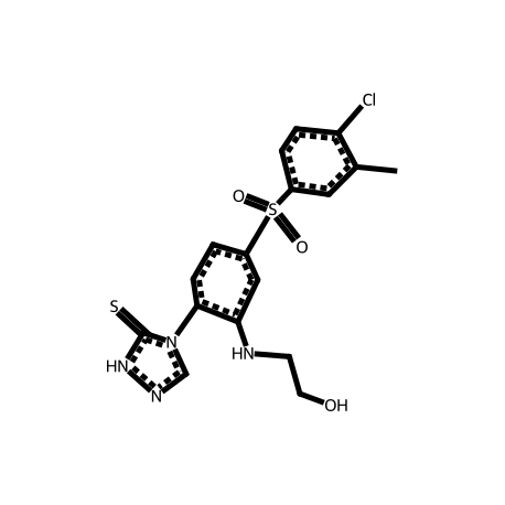 Cc1cc(S(=O)(=O)c2ccc(-n3cn[nH]c3=S)c(NCCO)c2)ccc1Cl